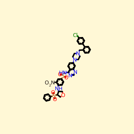 O=[N+]([O-])c1cc(S(=O)(=O)Nc2ncnc3cc(N4CCN(Cc5ccccc5-c5ccc(Cl)cc5)CC4)ccc23)ccc1NC1COCC1S(=O)(=O)c1ccccc1